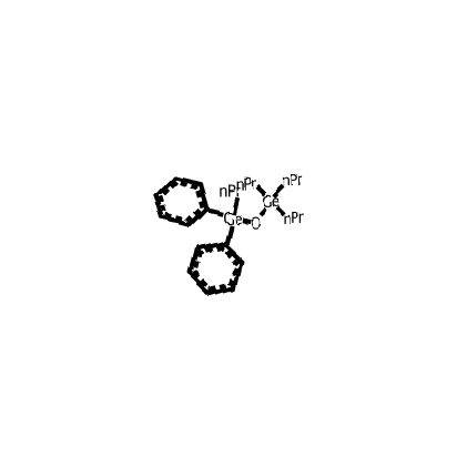 CC[CH2][Ge]([CH2]CC)([CH2]CC)[O][Ge]([CH2]CC)([c]1ccccc1)[c]1ccccc1